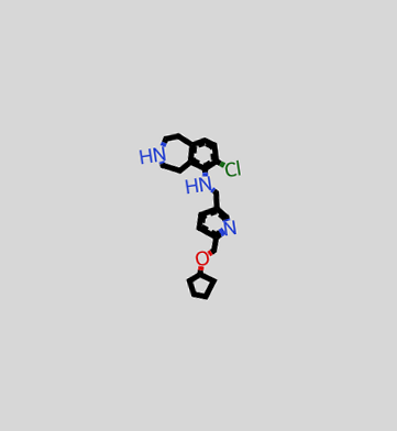 Clc1ccc2c(c1NCc1ccc(COC3CCCC3)nc1)CCNCC2